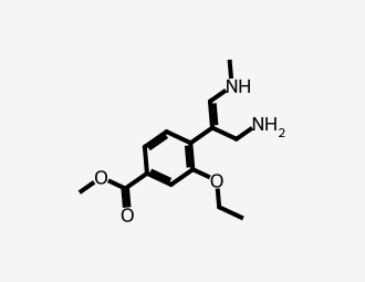 CCOc1cc(C(=O)OC)ccc1/C(=C/NC)CN